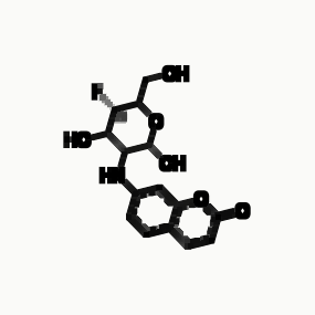 O=c1ccc2ccc(NC3C(O)OC(CO)[C@@H](F)C3O)cc2o1